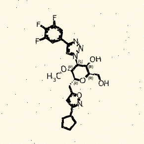 CO[C@@H]1[C@@H](n2cc(-c3cc(F)c(F)c(F)c3)nn2)[C@@H](O)[C@@H](CO)O[C@@H]1Cc1cc(C2CCCC2)no1